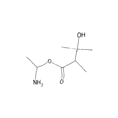 CC(N)OC(=O)C(C)C(C)(C)O